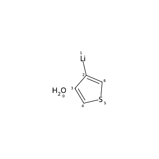 O.[Li][c]1ccsc1